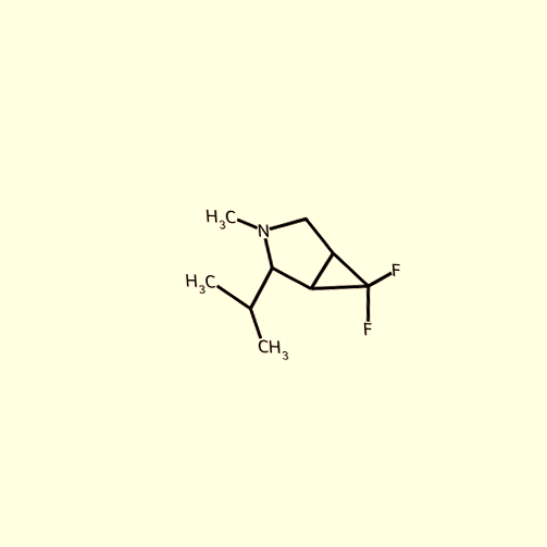 CC(C)C1C2C(CN1C)C2(F)F